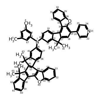 Cc1cc(C)cc(N(c2ccc3c(c2)C(C)(C)c2cc(-c4ccncc4)c4oc5ccccc5c4c2-3)c2ccc3c(c2)C(C)(C)c2c4c(c5oc6ccccc6c5c2-3)-c2ccccc2C4(C)C)c1